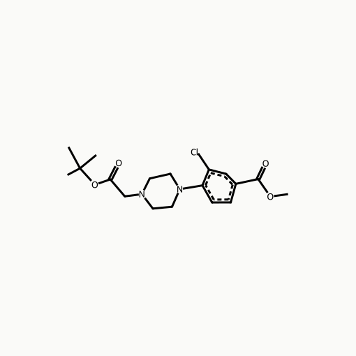 COC(=O)c1ccc(N2CCN(CC(=O)OC(C)(C)C)CC2)c(Cl)c1